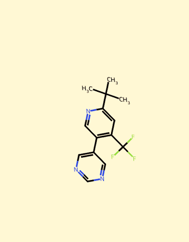 CC(C)(C)c1cc(C(F)(F)F)c(-c2cncnc2)cn1